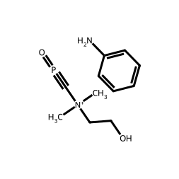 C[N+](C)(C#P=O)CCO.Nc1ccccc1